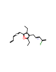 C=CC=C=Cc1oc(CC)c(C/C=C/C(=C)F)c1CC